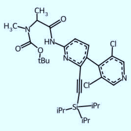 CC(C(=O)Nc1ccc(-c2c(Cl)cncc2Cl)c(C#C[Si](C(C)C)(C(C)C)C(C)C)n1)N(C)C(=O)OC(C)(C)C